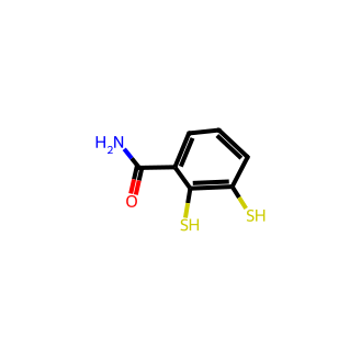 NC(=O)c1cccc(S)c1S